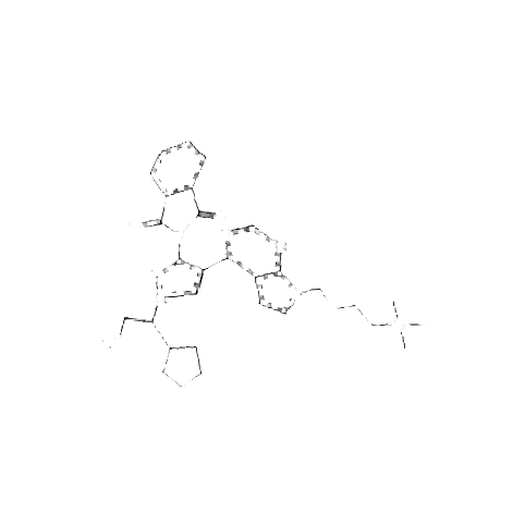 C[Si](C)(C)CCOCn1ccc2c(-c3cn(C(CC#N)C4CCCC4)nc3N3C(=O)c4ccccc4C3=O)ncnc21